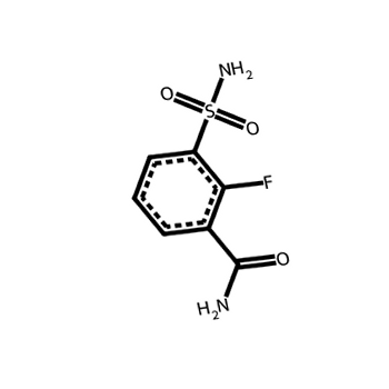 NC(=O)c1cccc(S(N)(=O)=O)c1F